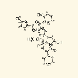 COc1c(C2CC(O)N(C(=O)CN3CCOCC3)C2C(F)(F)F)nn(C(=O)c2ccccc2Cl)c1OCc1ccc(Cl)s1